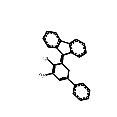 O=[N+]([O-])C1=C([N+](=O)[O-])C(=C2c3ccccc3-c3ccccc32)[CH]C(c2[c]cccc2)=C1